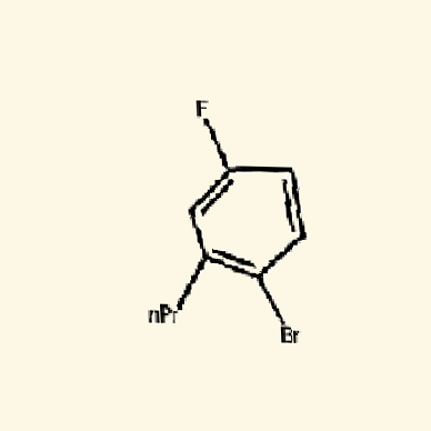 C[CH]Cc1cc(F)ccc1Br